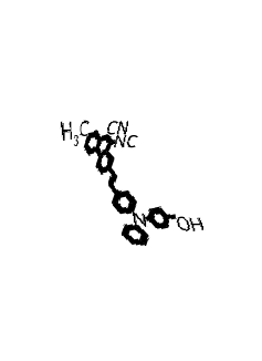 [C-]#[N+]c1c(C#N)c2cc(C)ccc2c2ccc(C=Cc3ccc(N(c4ccccc4)c4ccc(CO)cc4)cc3)cc12